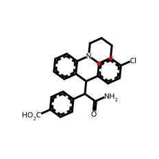 NC(=O)C(c1ccc(C(=O)O)cc1)C(c1ccc(Cl)cc1)c1ccccc1N1CCCCC1